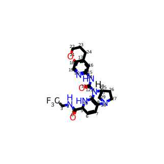 O=C(NCC(F)(F)F)C1C=CC2=C(N1)N(C(=O)Nc1cc3c(cn1)OCCC3)[C@H]1CCN2C1